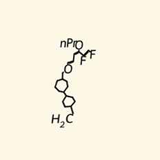 C=CC1CCC(C2CCCC(CO/C=C/C=C(OCCC)\C(F)=C\F)CC2)CC1